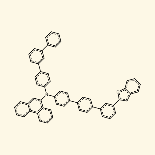 c1ccc(-c2cccc(-c3ccc(N(c4ccc(-c5ccc(-c6cccc(-c7cc8ccccc8o7)c6)cc5)cc4)c4cc5ccccc5c5ccccc45)cc3)c2)cc1